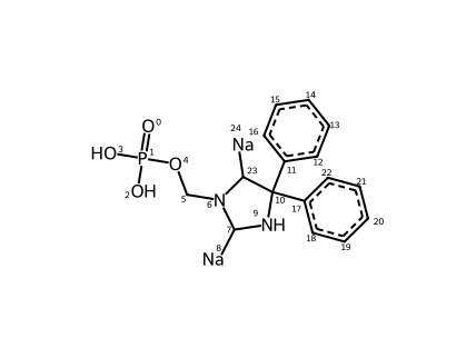 O=P(O)(O)OCN1[CH]([Na])NC(c2ccccc2)(c2ccccc2)[CH]1[Na]